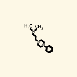 CCN(CC)CCCN1CCN(c2ccccc2)CC1